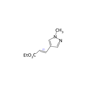 CCOC(=O)/C=C/c1cnn(C)c1